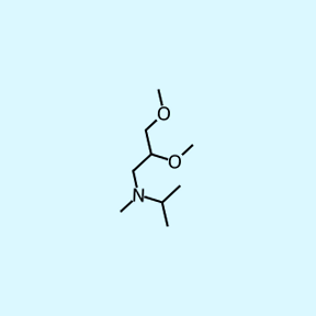 COCC(CN(C)C(C)C)OC